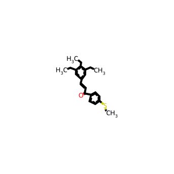 CCSc1ccc(C(=O)/C=C/c2cc(CC)c(CC)c(CC)c2)cc1